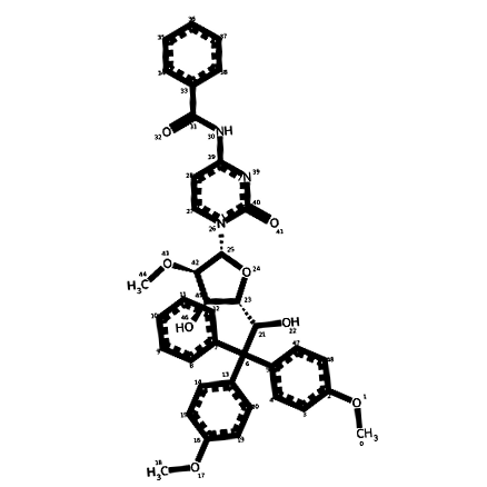 COc1ccc(C(c2ccccc2)(c2ccc(OC)cc2)C(O)[C@H]2O[C@@H](n3ccc(NC(=O)c4ccccc4)nc3=O)[C@H](OC)[C@@H]2O)cc1